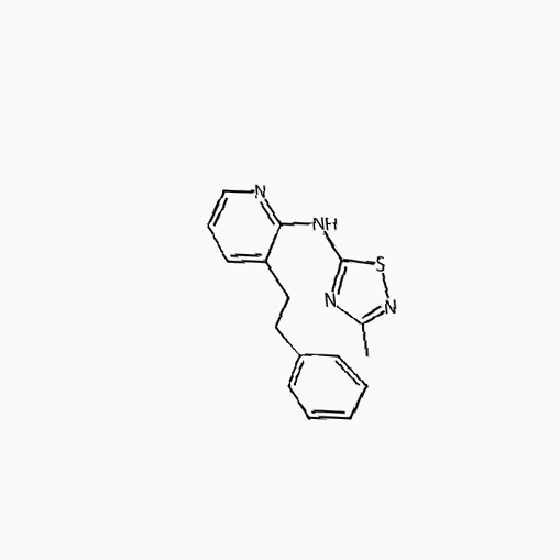 Cc1nsc(Nc2ncccc2CCc2ccccc2)n1